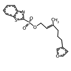 C/C(=C\COS(=O)(=O)c1nc2ccccc2s1)CCCc1ccoc1